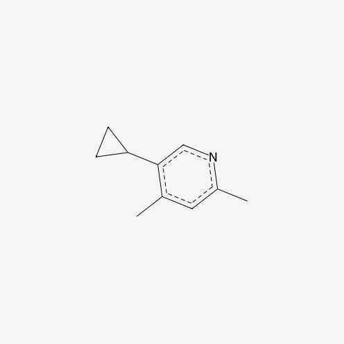 Cc1cc(C)c(C2CC2)cn1